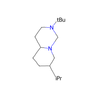 CC(C)C1CCC2CCN(C(C)(C)C)CN2C1